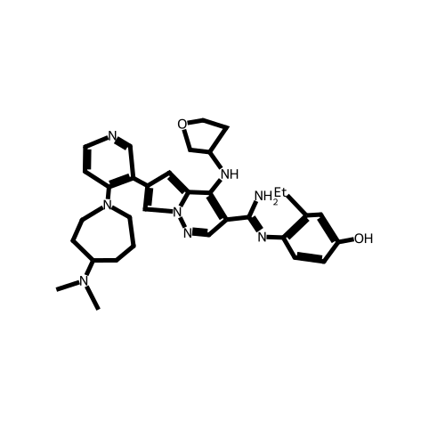 CCc1cc(O)ccc1/N=C(\N)c1cnn2cc(-c3cnccc3N3CCCC(N(C)C)CC3)cc2c1NC1CCOC1